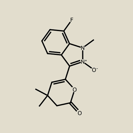 Cn1c2c(F)cccc2c(C2=CC(C)(C)CC(=O)O2)[n+]1[O-]